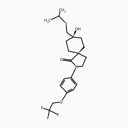 CC(C)SC[C@]1(O)CC[C@]2(CCN(c3ccc(OCC(F)(F)F)cc3)C2=O)CC1